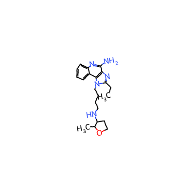 CCc1nc2c(N)nc3ccccc3c2n1CCCCNC1CCOC1C